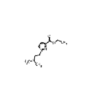 CCOC(=O)c1ccn(CCN(C)C)n1